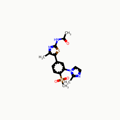 CC(=O)Nc1nc(C)c(-c2ccc(S(C)(=O)=O)c(-n3ccnc3C)c2)s1